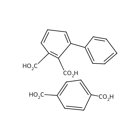 O=C(O)c1ccc(C(=O)O)cc1.O=C(O)c1cccc(-c2ccccc2)c1C(=O)O